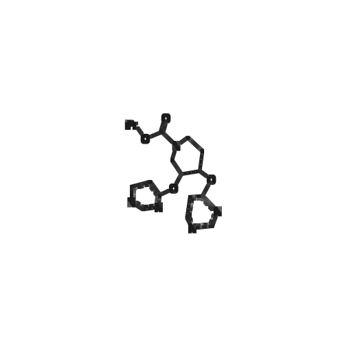 CC(C)OC(=O)N1CCC(Oc2ccncn2)C(Oc2ccncn2)C1